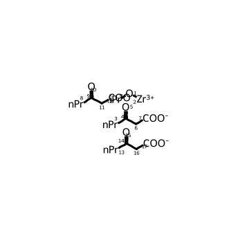 CC(C)[O][Zr+3].CCCC(=O)CC(=O)[O-].CCCC(=O)CC(=O)[O-].CCCC(=O)CC(=O)[O-]